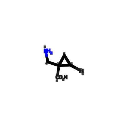 CCC1CC1(CN)C(=O)O